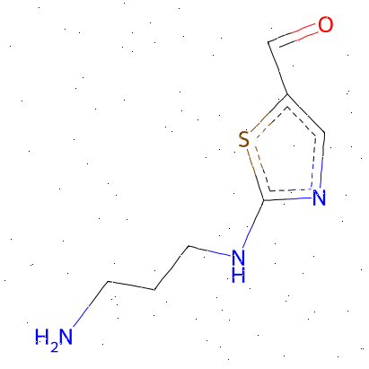 NCCCNc1ncc(C=O)s1